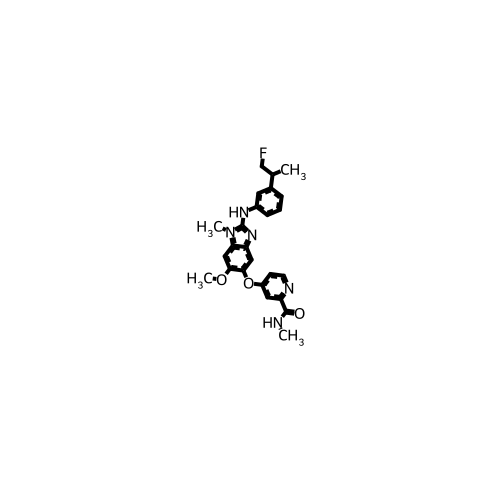 CNC(=O)c1cc(Oc2cc3nc(Nc4cccc(C(C)CF)c4)n(C)c3cc2OC)ccn1